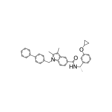 Cc1c(C)n(Cc2ccc(-c3ccccc3)cc2)c2ccc(C(=O)N[C@@H](C)c3cccc(OC4CC4)c3)cc12